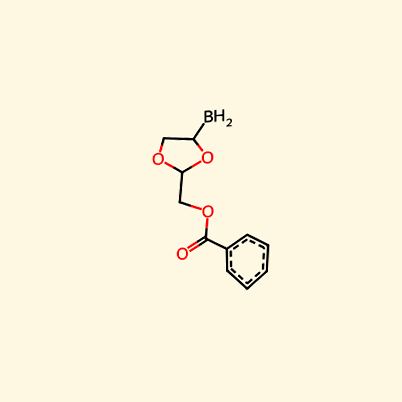 BC1COC(COC(=O)c2ccccc2)O1